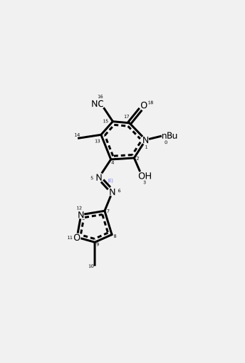 CCCCn1c(O)c(/N=N/c2cc(C)on2)c(C)c(C#N)c1=O